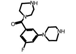 O=C(c1cc(F)cc(N2CCNCC2)c1)N1CCNCC1